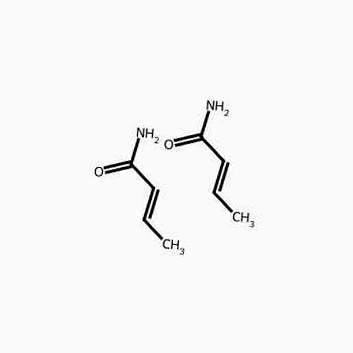 CC=CC(N)=O.CC=CC(N)=O